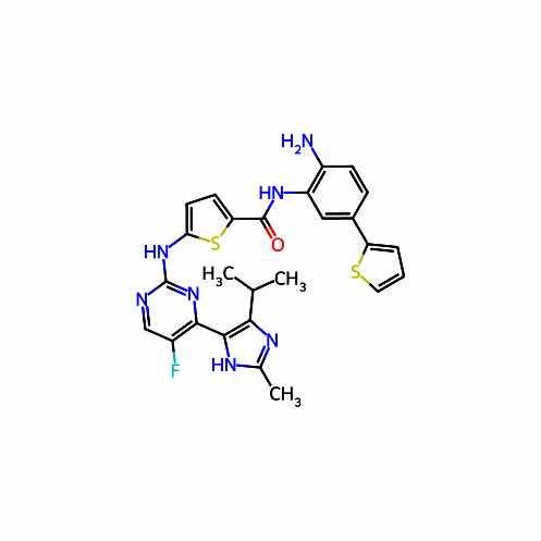 Cc1nc(C(C)C)c(-c2nc(Nc3ccc(C(=O)Nc4cc(-c5cccs5)ccc4N)s3)ncc2F)[nH]1